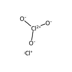 [Cl+].[O-][Cl+2]([O-])[O-]